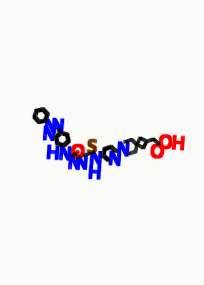 O=C(O)CC1CC2(CCN(c3ccc(NC(=S)c4nnc(Nc5ccc6nn(-c7ccccc7)nc6c5)o4)cn3)CC2)C1